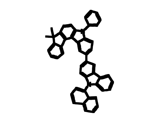 CC1(C)c2ccccc2-c2c1ccc1c2c2cc(-c3ccc4c(c3)c3ccccc3n4-c3cccc4ccccc34)ccc2n1-c1ccccc1